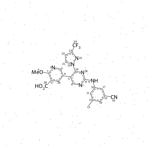 COc1ncc(-c2cnc(Nc3cc(C)cc(C#N)c3)nc2-n2ccc(C(F)(F)F)n2)cc1C(=O)O